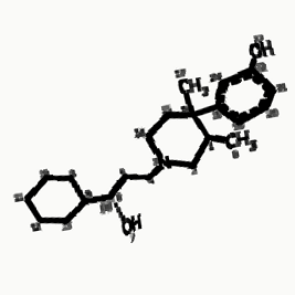 CC1CN(CC[C@H](O)C2CCCCC2)CCC1(C)c1cccc(O)c1